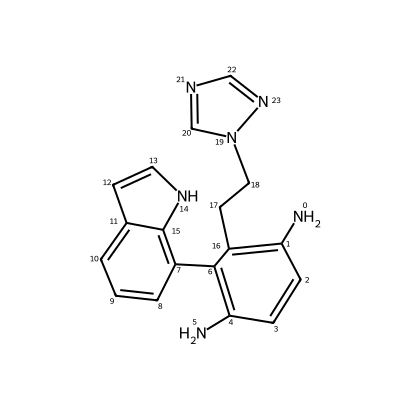 Nc1ccc(N)c(-c2cccc3cc[nH]c23)c1CCn1cncn1